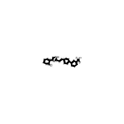 FC(F)(F)c1cccc(-c2ccc(/C=C/c3nc(-c4ccccc4Cl)c[nH]3)cc2)c1